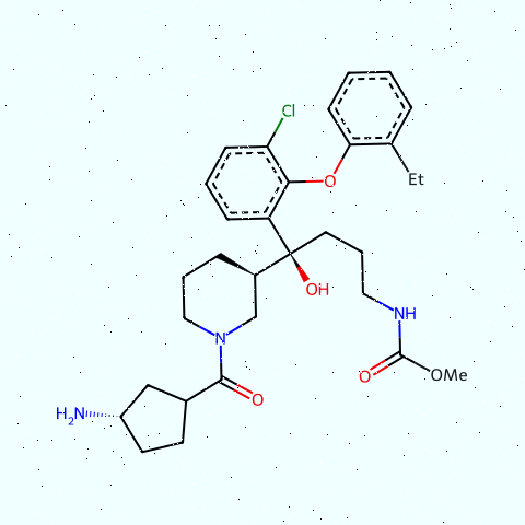 CCc1ccccc1Oc1c(Cl)cccc1[C@](O)(CCCNC(=O)OC)[C@@H]1CCCN(C(=O)C2CC[C@H](N)C2)C1